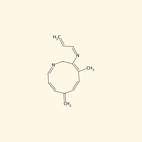 C=C\C=N/C1=C(C)/C=C\C(=C)/C=C\C=N/C1